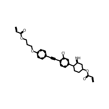 C=CC(=O)OCCCOc1ccc(C#Cc2ccc(C3CCC(OC(=O)C=C)CC3=N)cc2Cl)cc1